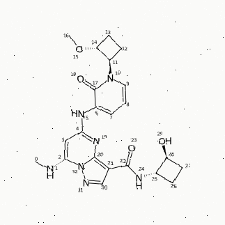 CNc1cc(Nc2cccn([C@@H]3CC[C@H]3OC)c2=O)nc2c(C(=O)N[C@H]3CC[C@@H]3O)cnn12